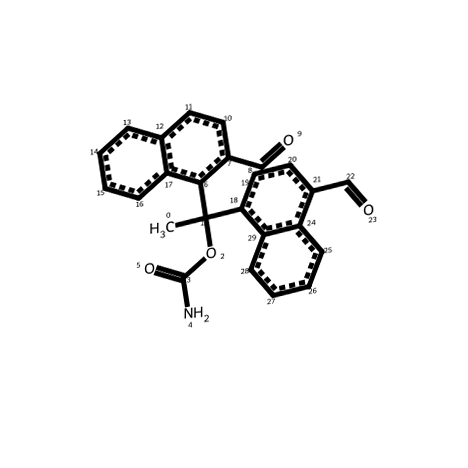 CC(OC(N)=O)(c1c(C=O)ccc2ccccc12)c1ccc(C=O)c2ccccc12